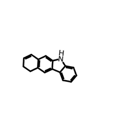 C1=Cc2cc3[nH]c4ccccc4c3cc2CC1